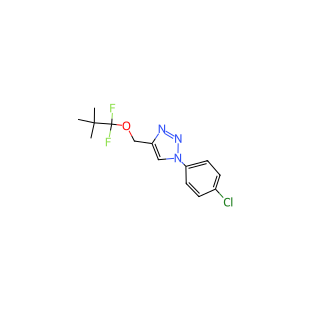 CC(C)(C)C(F)(F)OCc1cn(-c2ccc(Cl)cc2)nn1